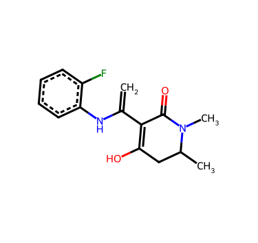 C=C(Nc1ccccc1F)C1=C(O)CC(C)N(C)C1=O